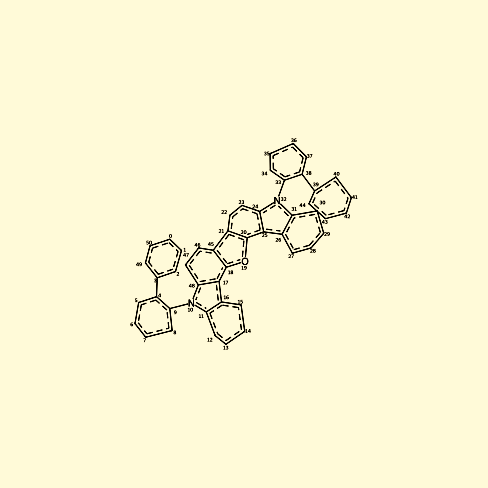 c1ccc(-c2ccccc2-n2c3ccccc3c3c4oc5c(ccc6c5c5ccccc5n6-c5ccccc5-c5ccccc5)c4ccc32)cc1